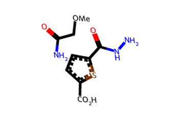 COCC(N)=O.NNC(=O)c1ccc(C(=O)O)s1